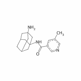 Cc1cncc(C(=O)NC23CC4CC(CC(N)(C4)C2)C3)c1